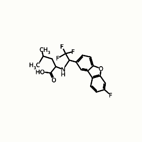 CC(C)CC(NC(c1ccc2oc3cc(F)ccc3c2c1)C(F)(F)F)C(=O)O